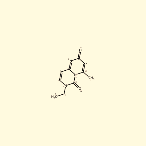 CCn1ccc2nc(=O)cc(C)n2c1=O